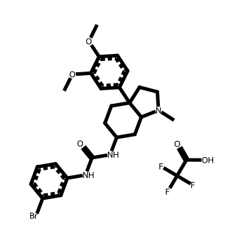 COc1ccc(C23CCC(NC(=O)Nc4cccc(Br)c4)CC2N(C)CC3)cc1OC.O=C(O)C(F)(F)F